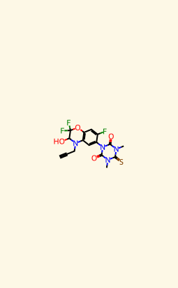 C#CCN1c2cc(-n3c(=O)n(C)c(=S)n(C)c3=O)c(F)cc2OC(F)(F)C1O